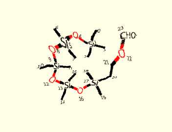 C[Si](C)(C)O[Si](C)(C)O[Si](C)(C)O[Si](C)(C)O[Si](C)(C)CCO[C]=O